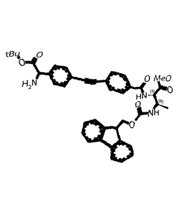 COC(=O)[C@@H](NC(=O)c1ccc(C#Cc2ccc(C(N)C(=O)OC(C)(C)C)cc2)cc1)[C@@H](C)NC(=O)OCC1c2ccccc2-c2ccccc21